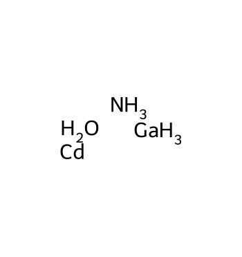 N.O.[Cd].[GaH3]